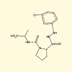 CC(NC(=O)N1CCCC1C(=O)NNc1cccc(Cl)c1)C(=O)O